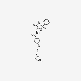 COC(=O)C(CNC(=O)c1ccc(OCCCc2cn(C)cn2)cc1)NS(=O)(=O)c1ccccc1